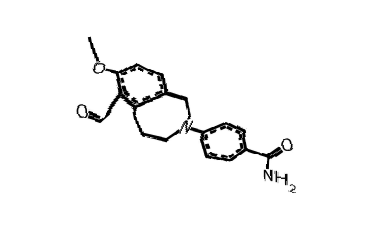 COc1ccc2c(c1C=O)CCN(c1ccc(C(N)=O)cc1)C2